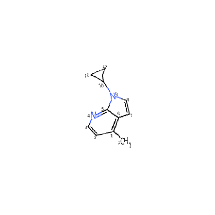 Cc1ccnc2c1ccn2C1CC1